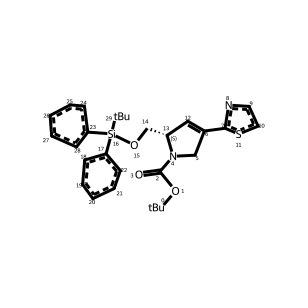 CC(C)(C)OC(=O)N1CC(c2nccs2)=C[C@H]1CO[Si](c1ccccc1)(c1ccccc1)C(C)(C)C